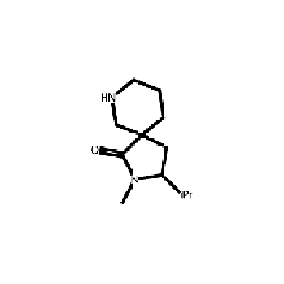 CC(C)C1CC2(CCCNC2)C(=O)N1C